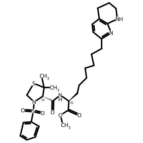 COC(=O)[C@H](CCCCCCCc1ccc2c(n1)NCCC2)NC(=O)[C@@H]1N(S(=O)(=O)c2ccccc2)CSC1(C)C